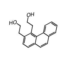 OCCc1ccc2ccc3ccccc3c2c1CCO